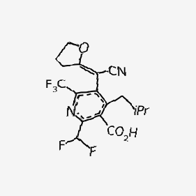 CC(C)Cc1c(C(=O)O)c(C(F)F)nc(C(F)(F)F)c1C(C#N)=C1CCCO1